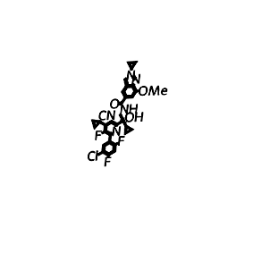 COc1cc(C(=O)NC[C@](O)(c2cc(C3(C#N)CC3)c(F)c(-c3cc(Cl)c(F)cc3F)n2)C2CC2)cc2cn(C3CC3)nc12